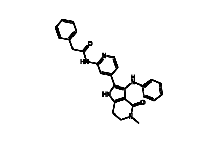 CN1CCc2[nH]c(-c3ccnc(NC(=O)Cc4ccccc4)c3)c(Nc3ccccc3)c2C1=O